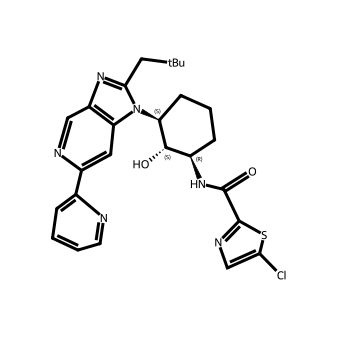 CC(C)(C)Cc1nc2cnc(-c3ccccn3)cc2n1[C@H]1CCC[C@@H](NC(=O)c2ncc(Cl)s2)[C@@H]1O